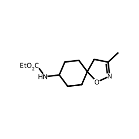 CCOC(=O)NC1CCC2(CC1)CC(C)=NO2